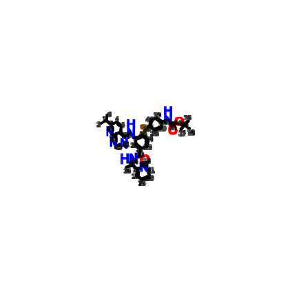 CC(C)c1ccc2c(Nc3cc(C(=O)NC(C)c4ccccn4)ccc3Sc3ccc(NC(=O)OC(C)(C)C)cc3)ncnc2n1